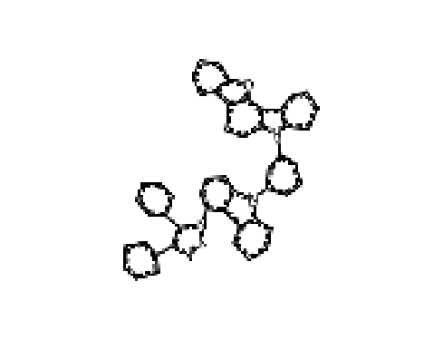 c1ccc(-c2nnn(-c3cccc4c3c3ccccc3n4-c3cccc(-n4c5ccccc5c5c6oc7ccccc7c6ccc54)c3)c2-c2ccccc2)cc1